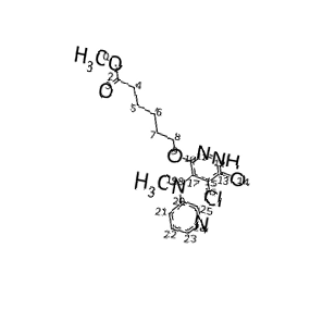 COC(=O)CCCCCOc1n[nH]c(=O)c(Cl)c1N(C)c1cccnc1